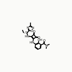 CC[C@@H](Nc1c(Nc2cccc(C(=O)N(C)C)c2O)c(=O)c1=O)c1nc(C)no1